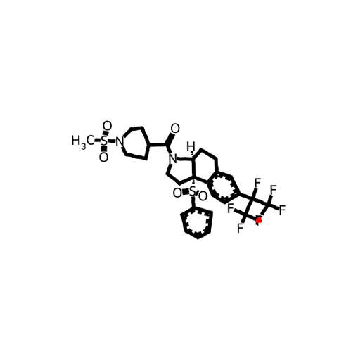 CS(=O)(=O)N1CCC(C(=O)N2CC[C@]3(S(=O)(=O)c4ccccc4)c4ccc(C(F)(C(F)(F)F)C(F)(F)F)cc4CC[C@H]23)CC1